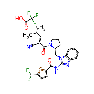 CC(C)/C=C(\C#N)C(=O)N1CCC[C@H]1Cn1c(NC(=O)c2ccc(C(F)F)s2)nc2ccccc21.O=C(O)C(F)(F)F